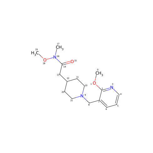 COc1ncccc1CN1CCC(CC(=O)N(C)OC)CC1